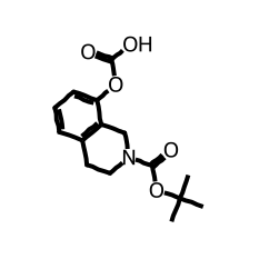 CC(C)(C)OC(=O)N1CCc2cccc(OC(=O)O)c2C1